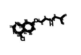 CC(C)CNCCOc1ccc2c(Cl)ncnc2c1